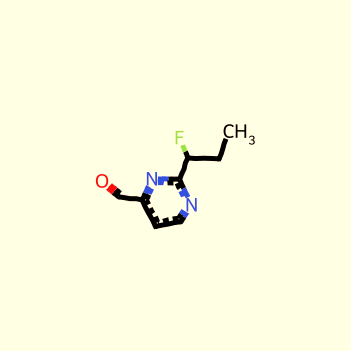 CCC(F)c1nccc(C=O)n1